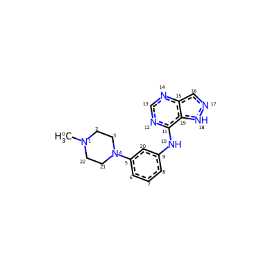 CN1CCN(c2cccc(Nc3n[c]nc4cn[nH]c34)c2)CC1